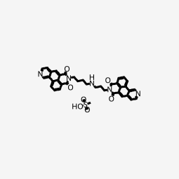 CS(=O)(=O)O.O=C1c2cccc3c2c(cc2ccncc23)C(=O)N1CCCCNCCCN1C(=O)c2cccc3c2c(cc2ccncc23)C1=O